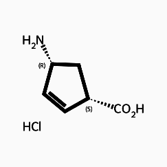 Cl.N[C@H]1C=C[C@@H](C(=O)O)C1